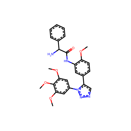 COc1ccc(-c2cnnn2-c2cc(OC)c(OC)c(OC)c2)cc1NC(=O)C(N)c1ccccc1